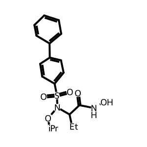 CCC(C(=O)NO)N(OC(C)C)S(=O)(=O)c1ccc(-c2ccccc2)cc1